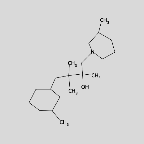 CC1CCCC(CC(C)(C)C(C)(O)CN2CCCC(C)C2)C1